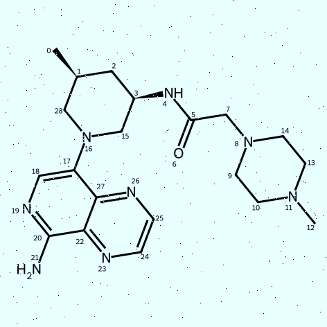 C[C@H]1C[C@@H](NC(=O)CN2CCN(C)CC2)CN(c2cnc(N)c3nccnc23)C1